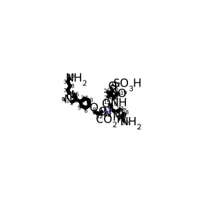 C[n+]1cc(-c2ccc(OC[C@H](O/N=C(\C(=O)N[C@@H]3C(=O)N(OS(=O)(=O)O)C3(C)C)c3csc(N)n3)C(=O)O)cc2)cn1CCCN